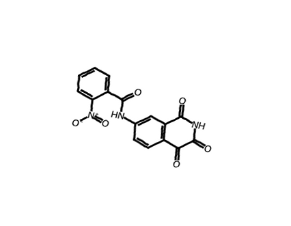 O=C1NC(=O)c2cc(NC(=O)c3ccccc3[N+](=O)[O-])ccc2C1=O